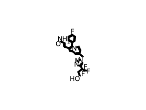 NC(=O)/C=C/c1cc2cc(Cn3cc(C(CCO)C(F)(F)F)nn3)ccn2c1-c1ccc(F)cc1